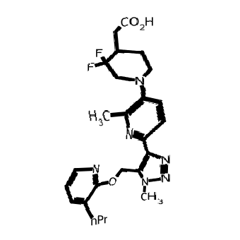 CCCc1cccnc1OCc1c(-c2ccc(N3CCC(CC(=O)O)C(F)(F)C3)c(C)n2)nnn1C